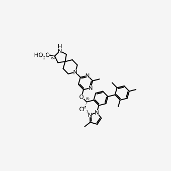 Cc1cc(C)c(-c2ccc([C@@H](Oc3cc(N4CCC5(CC4)CN[C@H](C(=O)O)C5)nc(C)n3)C(F)(F)F)c(-n3ccc(C)n3)c2)c(C)c1